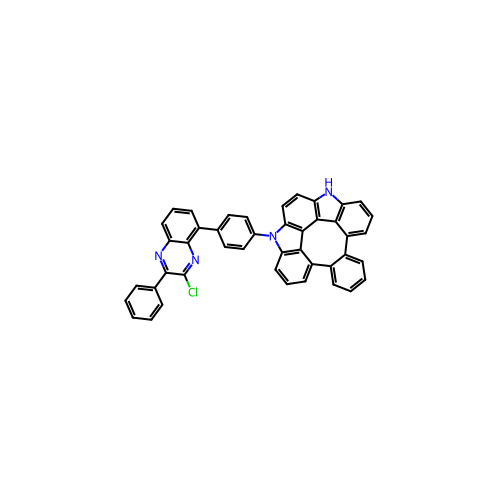 Clc1nc2c(-c3ccc(-n4c5cccc6c7ccccc7c7cccc8[nH]c9ccc4c(c9c87)c65)cc3)cccc2nc1-c1ccccc1